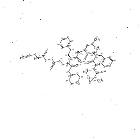 C#CCNC(=O)CCC(=O)OCN(C(=O)CN1CCOCC1)[C@@H](CCc1ccccc1)C(=O)N[C@@H](CC(C)C)C(=O)N[C@@H](Cc1ccccc1)C(=O)N[C@@H](C)C(=O)[C@@]1(C)CO1